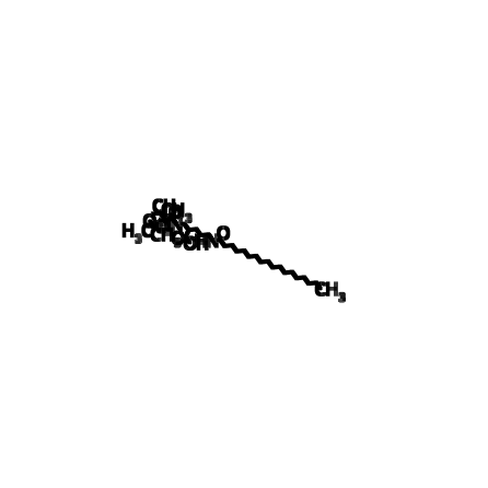 CCCCCCCCCCCCCCCCCC(=O)NCCCC(CNC(=O)C1OC(C)(C)OCC1(C)C)C(=O)O